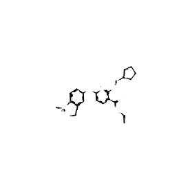 CCOC(=O)c1ccc(Oc2ccc3c(c2)COB3C)nc1OCC1CCCC1